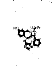 CCCS(=O)(=O)N1Cc2cc(C#N)ccc2N(Cc2c[nH]cn2)CC1Cc1ccccc1